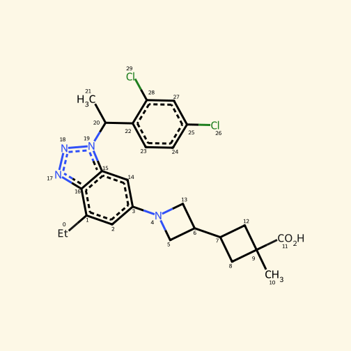 CCc1cc(N2CC(C3CC(C)(C(=O)O)C3)C2)cc2c1nnn2C(C)c1ccc(Cl)cc1Cl